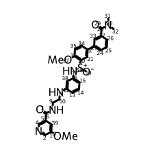 COc1cncc(C(=O)NCCNc2cccc(N[S+]([O-])c3cc(-c4cccc(C(=O)N(C)C)c4)ccc3OC)c2)c1